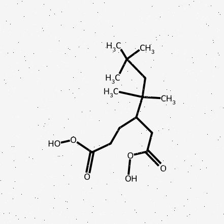 CC(C)(C)CC(C)(C)C(CCC(=O)OO)CC(=O)OO